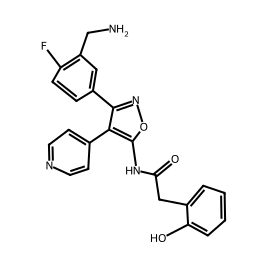 NCc1cc(-c2noc(NC(=O)Cc3ccccc3O)c2-c2ccncc2)ccc1F